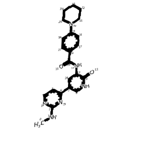 CNc1nccc(-c2c[nH]c(=O)c(NC(=O)c3ccc(N4CCCCC4)cc3)c2)n1